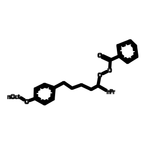 CCCCCCCCOc1ccc(CCCCC(CCC)OOC(=O)c2ccccc2)cc1